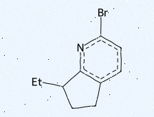 CCC1CCc2ccc(Br)nc21